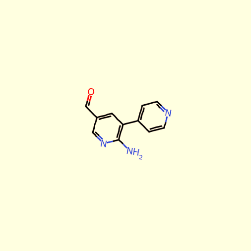 Nc1ncc(C=O)cc1-c1ccncc1